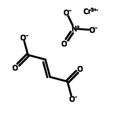 O=C([O-])/C=C/C(=O)[O-].O=[N+]([O-])[O-].[Cr+3]